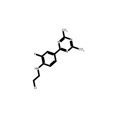 Fc1cc(-c2nc(C(Cl)(Cl)Cl)nc(C(Cl)(Cl)Cl)n2)ccc1NCCCl